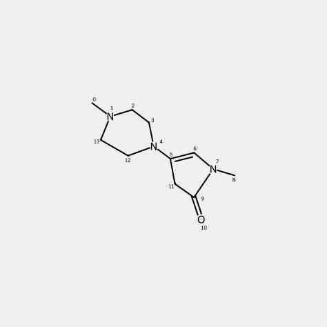 CN1CCN(C2=CN(C)C(=O)C2)CC1